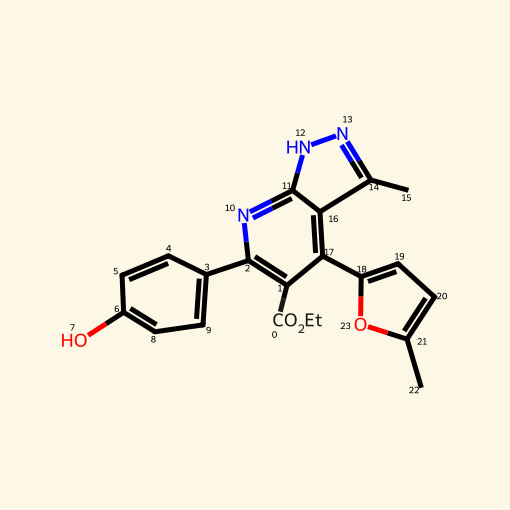 CCOC(=O)c1c(-c2ccc(O)cc2)nc2[nH]nc(C)c2c1-c1ccc(C)o1